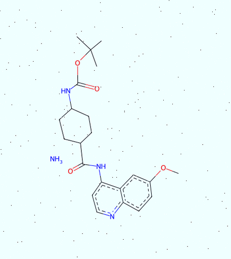 COc1ccc2nccc(NC(=O)C3CCC(NC(=O)OC(C)(C)C)CC3)c2c1.N